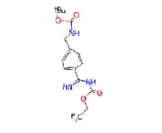 CC(C)(C)OC(=O)NCc1ccc(C(=N)NC(=O)OCC(F)(F)F)cc1